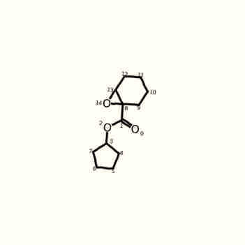 O=C(OC1CCCC1)C12CCCCC1O2